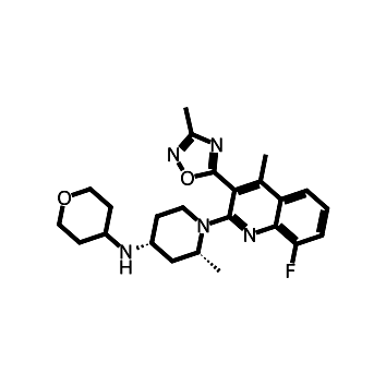 Cc1noc(-c2c(N3CC[C@@H](NC4CCOCC4)C[C@H]3C)nc3c(F)cccc3c2C)n1